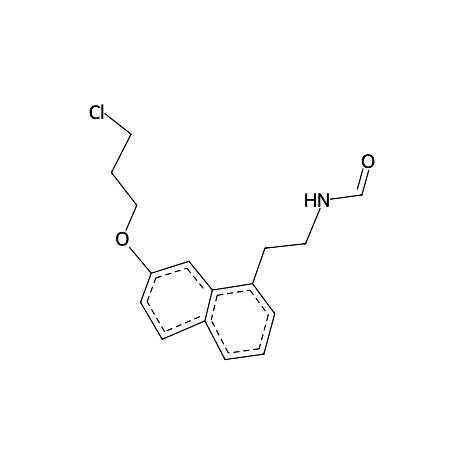 O=CNCCc1cccc2ccc(OCCCCl)cc12